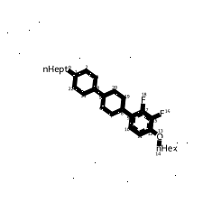 CCCCCCCC1CCC(C2CCC(c3ccc(OCCCCCC)c(F)c3F)CC2)CC1